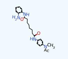 CC(=O)N(C)c1ccc(NC(=O)CCCCCCC(=O)Nc2ccccc2N)cc1